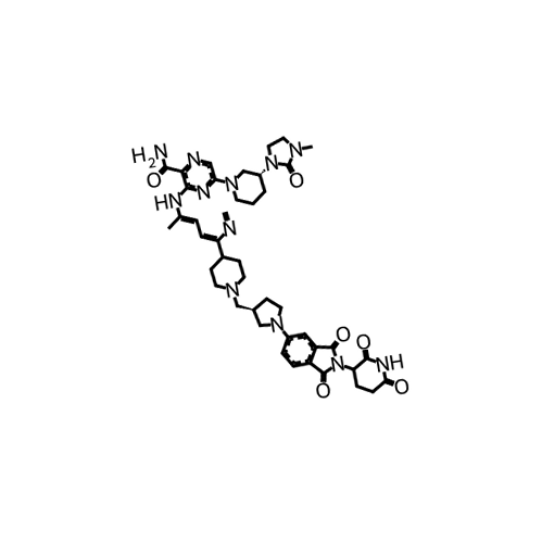 C=N/C(=C\C=C(/C)Nc1nc(N2CCC[C@@H](N3CCN(C)C3=O)C2)cnc1C(N)=O)C1CCN(C[C@H]2CCN(c3ccc4c(c3)C(=O)N(C3CCC(=O)NC3=O)C4=O)C2)CC1